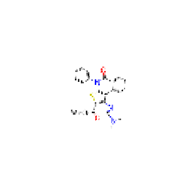 COC(=O)c1sc2c(c1N=CN(C)C)c1ccccc1c(=O)n2-c1ccccc1